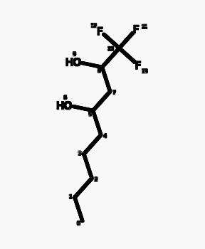 CCCCCC(O)CC(O)C(F)(F)F